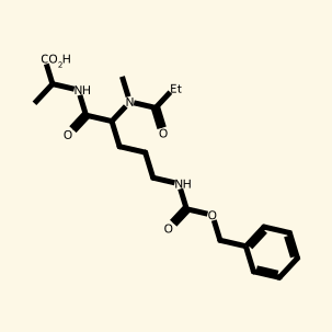 CCC(=O)N(C)C(CCCNC(=O)OCc1ccccc1)C(=O)NC(C)C(=O)O